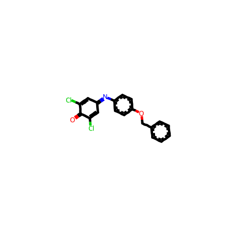 O=C1C(Cl)=CC(=Nc2ccc(OCc3ccccc3)cc2)C=C1Cl